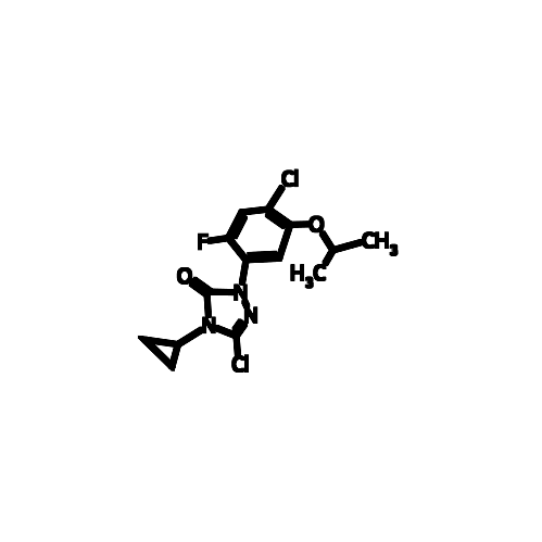 CC(C)Oc1cc(-n2nc(Cl)n(C3CC3)c2=O)c(F)cc1Cl